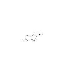 COc1ccc2c(N)c(C#N)nnc2c1